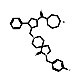 Cl.O=C(C1CCCCCC1)N1CC(CN2CCC3(CC2)CCN(Cc2ccc(Br)cc2)C3=O)C(c2ccccc2)C1